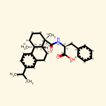 CC(C)c1ccc2c(c1)CC[C@H]1[C@](C)(C(=O)N[C@@H](Cc3ccccc3)C(=O)O)CCC[C@]21C